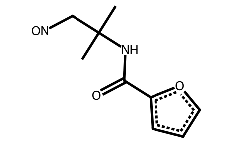 CC(C)(CN=O)NC(=O)c1ccco1